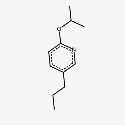 C[CH]Cc1ccc(OC(C)C)nc1